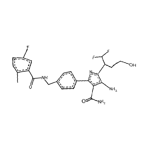 Cc1ccc(F)cc1C(=O)NCc1ccc(-c2nn(C(CCO)C(F)F)c(N)c2C(N)=O)cc1